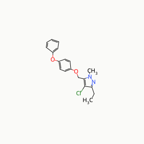 CCc1nn(C)c(COc2ccc(Oc3ccccc3)cc2)c1Cl